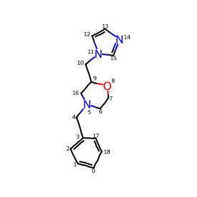 c1ccc(CN2CCOC(Cn3ccnc3)C2)cc1